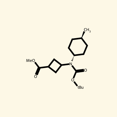 COC(=O)C1CC(N(C(=O)OC(C)(C)C)[C@H]2CC[C@H](C)CC2)C1